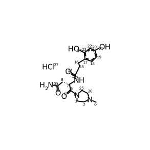 CN1CCN(C(=O)[C@H](CC(N)=O)NC(=O)CCc2ccc(O)cc2O)CC1.Cl